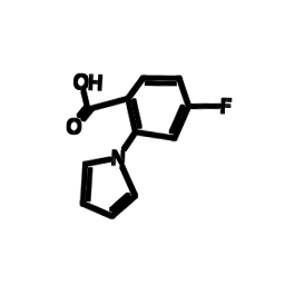 O=C(O)c1ccc(F)cc1-n1cccc1